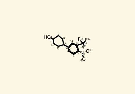 O=[N+]([O-])c1ccc(C2CCC(O)CC2)cc1C(F)(F)F